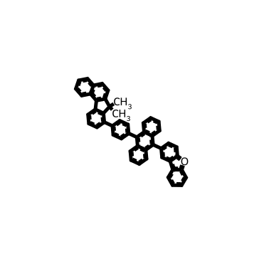 CC1(C)c2ccc3ccccc3c2-c2cccc(-c3ccc(-c4c5ccccc5c(-c5ccc6oc7ccccc7c6c5)c5ccccc45)cc3)c21